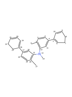 Cc1ccc(C2=CCCC=C2)cc1N(C)c1cc(C2=CC=CCC2)ccc1C